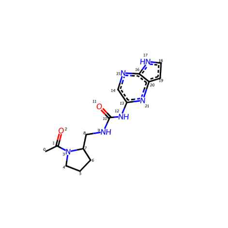 CC(=O)N1CCCC1CNC(=O)Nc1cnc2[nH]ccc2n1